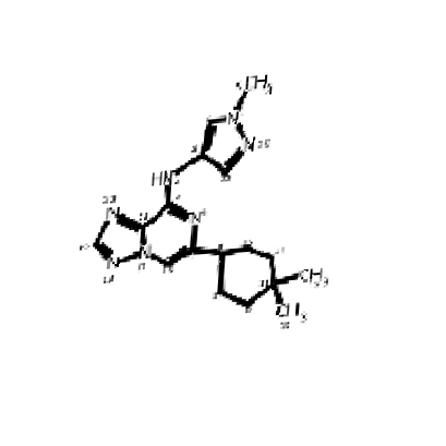 Cn1cc(Nc2nc(C3CCC(C)(C)CC3)cn3ncnc23)cn1